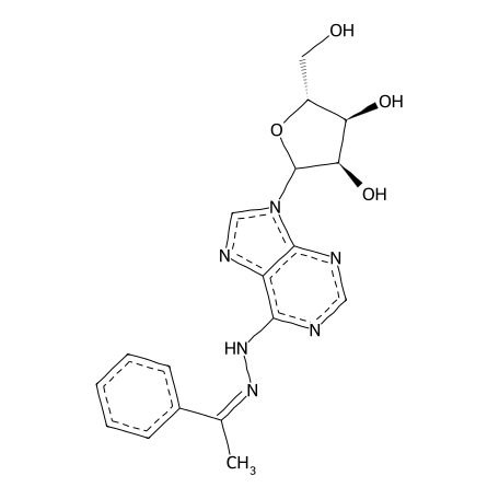 C/C(=N/Nc1ncnc2c1ncn2C1O[C@H](CO)[C@@H](O)[C@H]1O)c1ccccc1